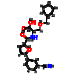 N#Cc1cccc(-c2ccc(C(=O)NC(COCc3ccccc3)C(=O)O)o2)c1